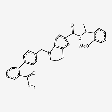 COc1ccccc1C(C)NC(=O)c1ccc2c(c1)CCCN2Cc1ccc(-c2ccccc2C(N)=O)cc1